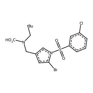 CC(C)(C)CN(Cc1cc(Br)n(S(=O)(=O)c2cccc(Cl)c2)c1)C(=O)O